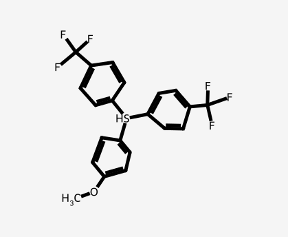 COc1ccc([SH](c2ccc(C(F)(F)F)cc2)c2ccc(C(F)(F)F)cc2)cc1